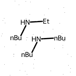 CCCCNCC.CCCCNCCCC